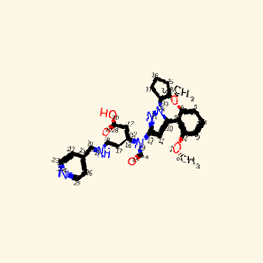 COc1cccc(OC)c1-c1cc(N(C=O)[C@@H](CCNCc2ccncc2)CC(=O)O)nn1C1CCCC1